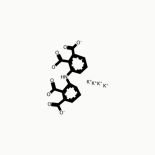 O=C([O-])c1cccc(Nc2cccc(C(=O)[O-])c2C(=O)[O-])c1C(=O)[O-].[K+].[K+].[K+].[K+]